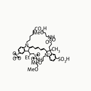 CCC(CS(=O)(=O)NCCOC)C1\C(=C/C=C/C=C/C2=[N+](CCOC)c3ccc(S(=O)(=O)O)cc3C2(C)CCS(=O)(=O)NCCOC)N(CCCCCC(=O)O)c2ccc(S(=O)(=O)[O-])cc21